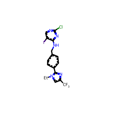 CCn1cc(C(F)(F)F)nc1-c1ccc(CNc2nc(Cl)ncc2I)cc1